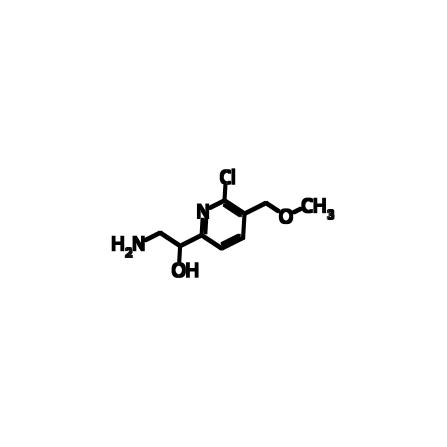 COCc1ccc(C(O)CN)nc1Cl